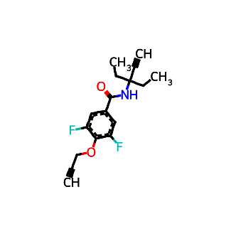 C#CCOc1c(F)cc(C(=O)NC(C#C)(CC)CC)cc1F